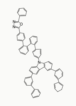 C1=CC(c2cccc(-c3ccc4c(c3)c3cc(-c5cccc(-c6ccccc6)c5)ccc3n4-c3ccc(-c4ccccc4-c4ccccc4-c4ccc(-c5nnc(-c6ccccc6)o5)cc4)cc3)c2)=CCC1